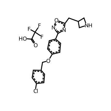 Clc1ccc(COc2ccc(-c3noc(CC4CNC4)n3)cc2)cc1.O=C(O)C(F)(F)F